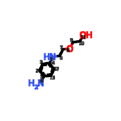 Nc1ccc(NCCOCCO)cc1